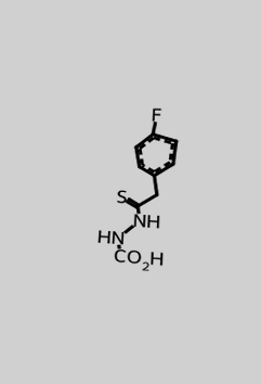 O=C(O)NNC(=S)Cc1ccc(F)cc1